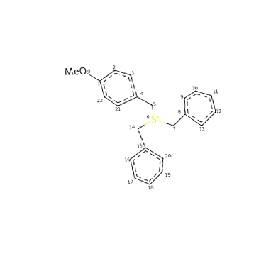 COc1ccc(C[S+](Cc2ccccc2)Cc2ccccc2)cc1